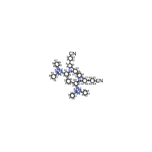 N#Cc1ccc(-c2ccc3c(c2)c2ccccc2n3-c2cc(-c3cccc(-c4cc(-c5nc(-c6ccccc6)nc(-c6ccccc6)n5)cc(-n5c6ccccc6c6cc(-c7ccc(C#N)cc7)ccc65)c4)c3)cc(-c3nc(-c4ccccc4)nc(-c4ccccc4)n3)c2)cc1